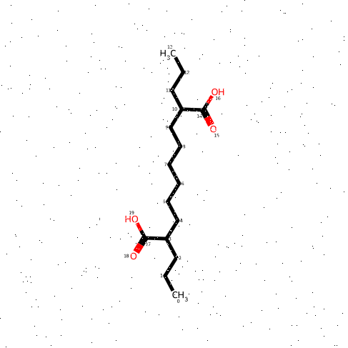 CCCC(CCCCCCC(CCC)C(=O)O)C(=O)O